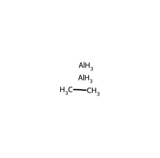 CC.[AlH3].[AlH3]